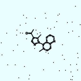 CC(=O)c1cnn(-c2c(C)ccc3ncccc23)c1C